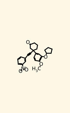 COc1ccc(C2(C#Cc3cccc([N+](=O)[O-])c3)CCCC(=O)C2)cc1OC1CCCC1